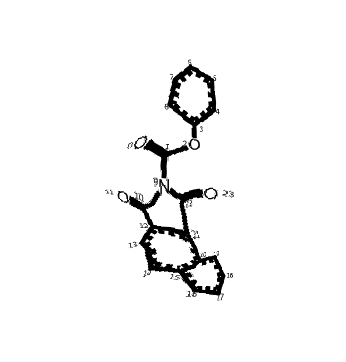 O=C(Oc1ccccc1)N1C(=O)c2ccc3ccccc3c2C1=O